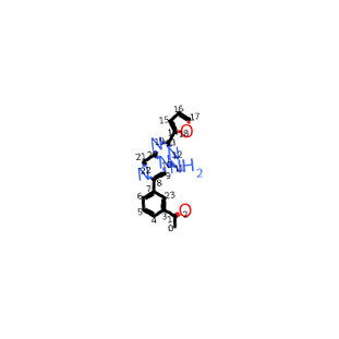 CC(=O)c1cccc(C2=C[N+]3(N)N=C(c4ccco4)N=C3C=N2)c1